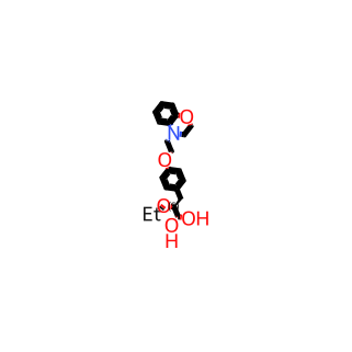 CCO[C@@H](Cc1ccc(OCCN2CCOc3ccccc32)cc1)C(O)O